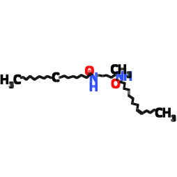 CCCC/C=C\CCCCCCCC(=O)N[C@H](C)CCCCNC(=O)CCCCCCCCCCCCCCCCC